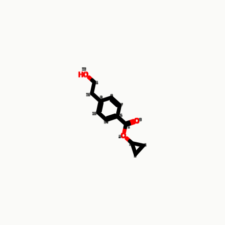 O=C(OC1CC1)c1ccc(CCO)cc1